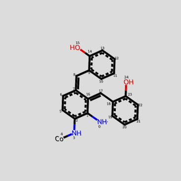 [NH]c1c([NH][Co])ccc(=Cc2ccccc2O)c1=Cc1ccccc1O